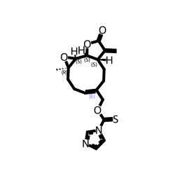 C=C1C(=O)O[C@H]2[C@H]1CC/C(COC(=S)n1ccnc1)=C\CC[C@@]1(C)O[C@@H]21